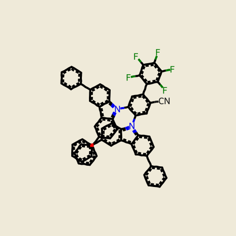 N#Cc1cc(-n2c3ccc(-c4ccccc4)cc3c3cc(-c4ccccc4)ccc32)c(-n2c3ccc(-c4ccccc4)cc3c3cc(-c4ccccc4)ccc32)cc1-c1c(F)c(F)c(F)c(F)c1F